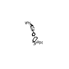 CCCCCCC[C@H]1CC[C@H](c2ccc(C3=N[C@@H](C(C)C)CO3)cc2)CC1